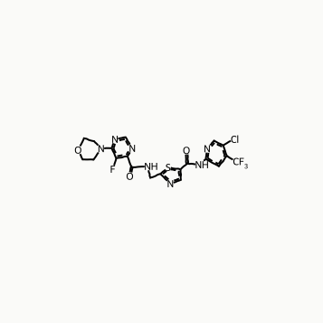 O=C(Nc1cc(C(F)(F)F)c(Cl)cn1)c1cnc(CNC(=O)c2ncnc(N3CCOCC3)c2F)s1